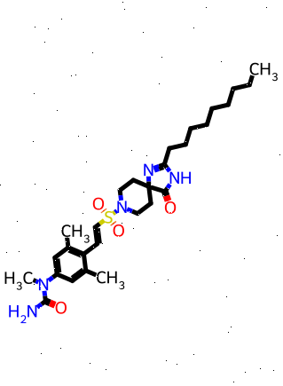 CCCCCCCCCC1=NC2(CCN(S(=O)(=O)C=Cc3c(C)cc(N(C)C(N)=O)cc3C)CC2)C(=O)N1